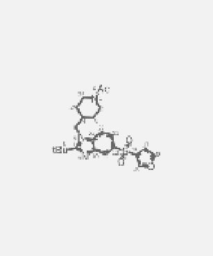 CC(=O)N1CCC(Cn2c(C(C)(C)C)nc3cc(S(=O)(=O)c4ccoc4)ccc32)CC1